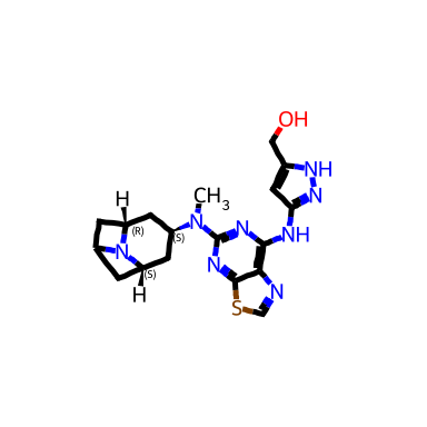 CN(c1nc(Nc2cc(CO)[nH]n2)c2ncsc2n1)[C@@H]1C[C@H]2CC3C[C@@H](C1)N32